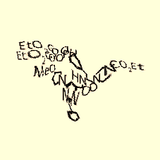 CCOC(=O)OC(OC(=O)OCC)O[PH](=O)c1ccc(CC(NC(=O)c2cc(N3CCC(OC)C3)nc(-c3ccccc3)n2)C(=O)N2CCN(C(=O)OCC)CC2)cc1